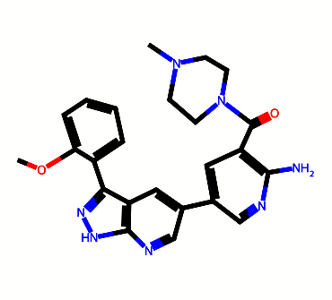 COc1ccccc1-c1n[nH]c2ncc(-c3cnc(N)c(C(=O)N4CCN(C)CC4)c3)cc12